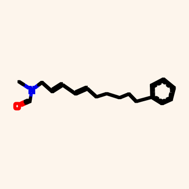 CN(C=O)C/C=C/C=C/CCCCCc1ccccc1